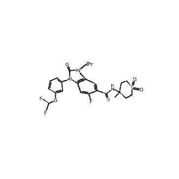 CC(C)n1c(=O)n(-c2cccc(OC(F)F)c2)c2cc(F)c(C(=O)NC3(C)CCS(=O)(=O)CC3)cc21